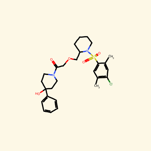 Cc1cc(S(=O)(=O)N2CCCCC2COCC(=O)N2CCC(O)(c3ccccc3)CC2)c(C)cc1Cl